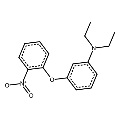 CCN(CC)c1cccc(Oc2ccccc2[N+](=O)[O-])c1